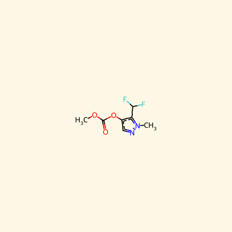 COC(=O)Oc1cnn(C)c1C(F)F